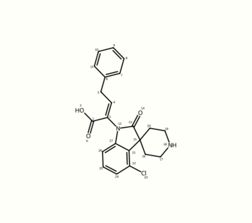 O=C(O)C(=CCc1ccccc1)N1C(=O)C2(CCNCC2)c2c(Cl)cccc21